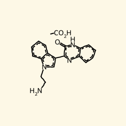 CC(=O)O.NCCn1cc(-c2nc3ccccc3[nH]c2=O)c2ccccc21